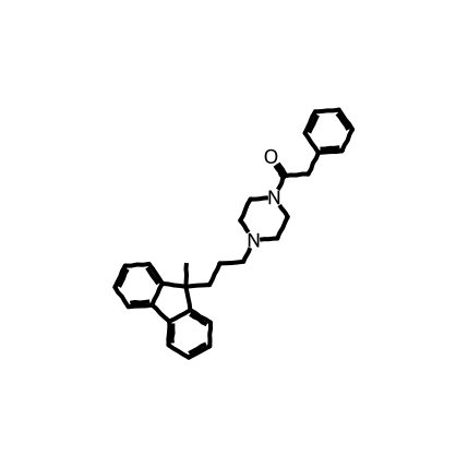 CC1(CCCN2CCN(C(=O)Cc3ccccc3)CC2)c2ccccc2-c2ccccc21